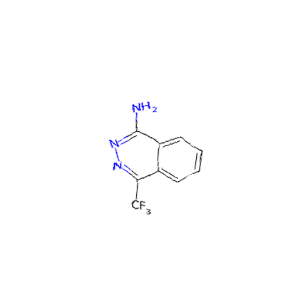 Nc1nnc(C(F)(F)F)c2ccccc12